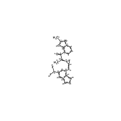 Cc1nc2cccc(C(=O)N(C)[C@H]3C/C3=C/c3cc(C(F)F)nc4ncnn34)c2o1